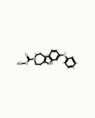 CC(C)(C)OC(=O)N1CCc2[nH]c3cc(Oc4ccccc4)ccc3c2CC1